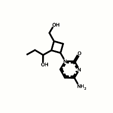 CCC(O)C1C(CO)CC1n1ccc(N)nc1=O